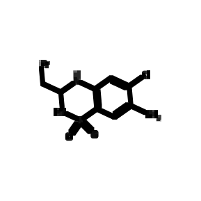 CC(C)CC1Nc2cc(Cl)c(N)cc2S(=O)(=O)N1